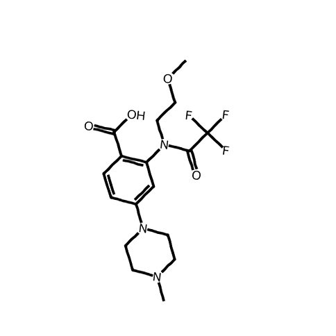 COCCN(C(=O)C(F)(F)F)c1cc(N2CCN(C)CC2)ccc1C(=O)O